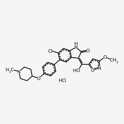 COc1cc(C(O)=C2C(=O)Nc3cc(Cl)c(-c4ccc(OC5CCN(C)CC5)cc4)cc32)on1.Cl